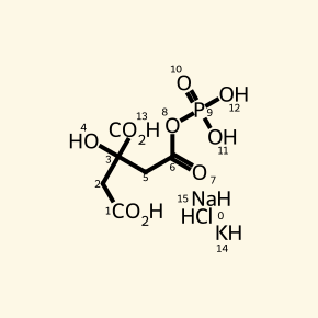 Cl.O=C(O)CC(O)(CC(=O)OP(=O)(O)O)C(=O)O.[KH].[NaH]